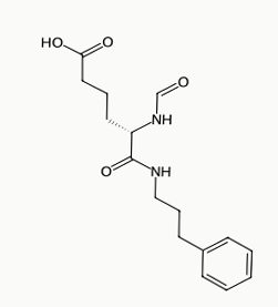 O=CN[C@@H](CCCC(=O)O)C(=O)NCCCc1ccccc1